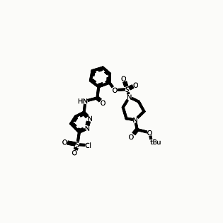 CC(C)(C)OC(=O)N1CCN(S(=O)(=O)Oc2ccccc2C(=O)Nc2ccc(S(=O)(=O)Cl)nn2)CC1